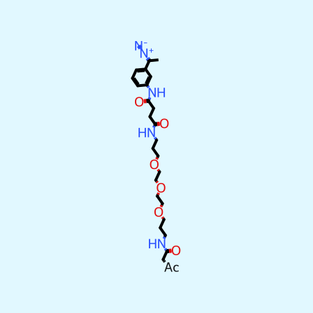 CC(=O)CC(=O)NCCCOCCOCCOCCCNC(=O)CCC(=O)Nc1cccc(C(C)=[N+]=[N-])c1